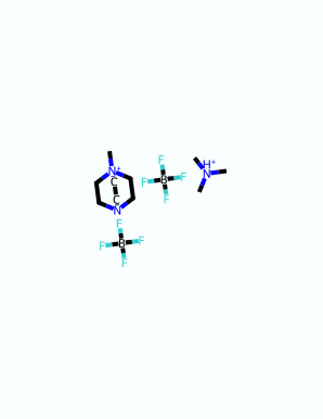 C[N+]12CCN(CC1)CC2.C[NH+](C)C.F[B-](F)(F)F.F[B-](F)(F)F